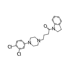 O=C(CCCN1CCN(c2ccc(Cl)c(Cl)c2)CC1)N1CCc2ccccc21